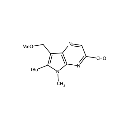 COCc1c(C(C)(C)C)n(C)c2nc(C=O)cnc12